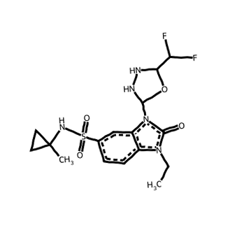 CCn1c(=O)n(C2NNC(C(F)F)O2)c2cc(S(=O)(=O)NC3(C)CC3)ccc21